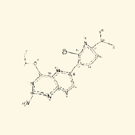 CCOc1nc(N)nc2ncc(-c3ccc(C(C)C)nc3Cl)nc12